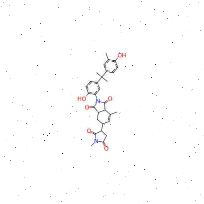 CC1=CC(C2CC(=O)N(C)C2=O)CC2C(=O)N(c3cc(C(C)(C)c4ccc(O)c(C)c4)ccc3O)C(=O)C12